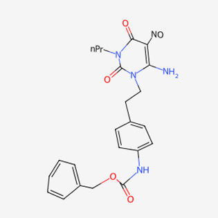 CCCn1c(=O)c(N=O)c(N)n(CCc2ccc(NC(=O)OCc3ccccc3)cc2)c1=O